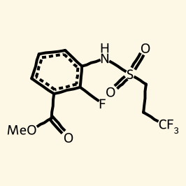 COC(=O)c1cccc(NS(=O)(=O)CCC(F)(F)F)c1F